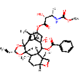 C=C[C@@H]1O[C@@H]2C3=C(C)[C@@H](OC(=O)[C@H](O)[C@@H](NC(=O)OC(C)(C)C)C(C)(C)C)C[C@@](O)([C@@H](OC(=O)c4ccccc4)[C@H]4[C@@](C)(CC[C@H]5OC[C@]54OC(C)=O)[C@@H]2O1)C3(C)C